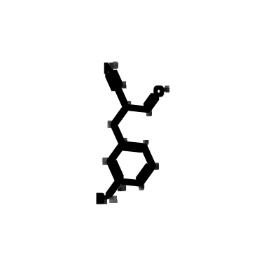 N#CC(C=O)Cc1cccc(Br)c1